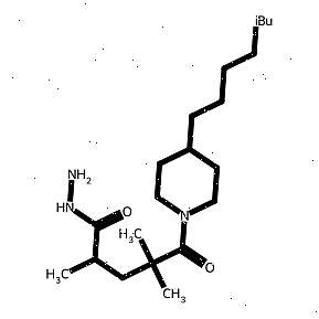 CCC(C)CCCCC1CCN(C(=O)C(C)(C)CC(C)C(=O)NN)CC1